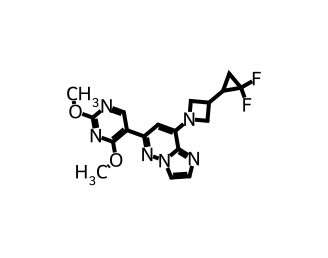 COc1ncc(-c2cc(N3CC(C4CC4(F)F)C3)c3nccn3n2)c(OC)n1